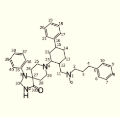 CN(CCCc1ccccc1)CC1CCC(c2ccccc2)CC1N1CCC2(CC1)C(=O)NCN2c1ccccc1